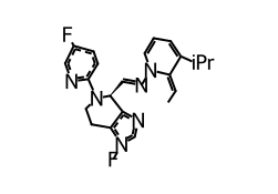 C/C=C1/C(C(C)C)=CC=CN1/N=C/[C@H]1c2ncn(F)c2CCN1c1ccc(F)cn1